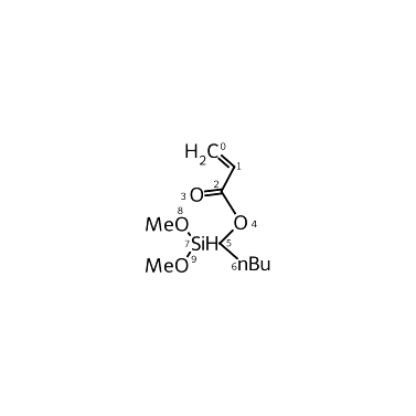 C=CC(=O)OC(CCCC)[SiH](OC)OC